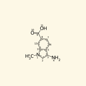 Cn1cc(N)c2ccc(C(=O)O)cc21